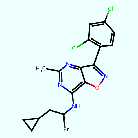 CCC(CC1CC1)Nc1nc(C)nc2c(-c3ccc(Cl)cc3Cl)noc12